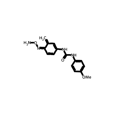 C=C1C=C(NC(=O)Nc2ccc(OC)cc2)C=C/C1=N/ON